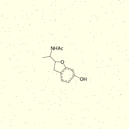 CC(=O)NC(C)C1Cc2ccc(O)cc2O1